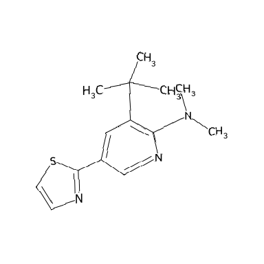 CN(C)c1ncc(-c2nccs2)cc1C(C)(C)C